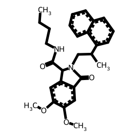 CCCCNC(=O)C1c2cc(OC)c(OC)cc2C(=O)N1CC(C)c1cccc2ccccc12